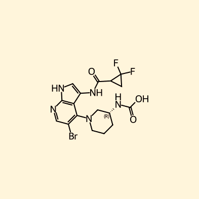 O=C(O)N[C@@H]1CCCN(c2c(Br)cnc3[nH]cc(NC(=O)C4CC4(F)F)c23)C1